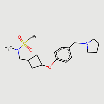 CC(C)S(=O)(=O)N(C)CC1CC(Oc2ccc(CN3CCCC3)cc2)C1